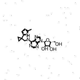 Cc1ccc(C2(CNc3ncnc4c3ncn4[C@@H]3O[C@H](CO)C(O)C3O)CC2)s1